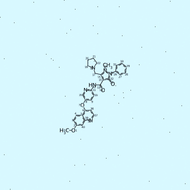 COc1ccc2c(Oc3ccc(NC(=O)c4c(CN5CCCC5)n(C)n(-c5ccccc5)c4=O)nc3)ccnc2c1